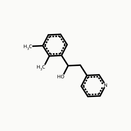 Cc1cccc(C(O)Cc2cccnc2)c1C